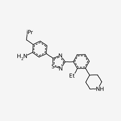 CCc1c(-c2nsc(-c3ccc(CC(C)C)c(N)c3)n2)cccc1C1CCNCC1